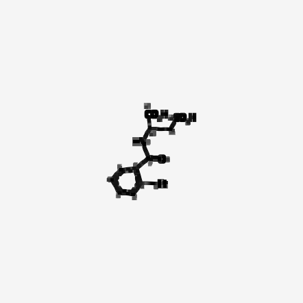 CCc1ccccc1C(=O)NC(CS(=O)(=O)O)C(=O)O